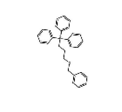 c1ccc(COCCC[PH](c2ccccc2)(c2ccccc2)c2ccccc2)cc1